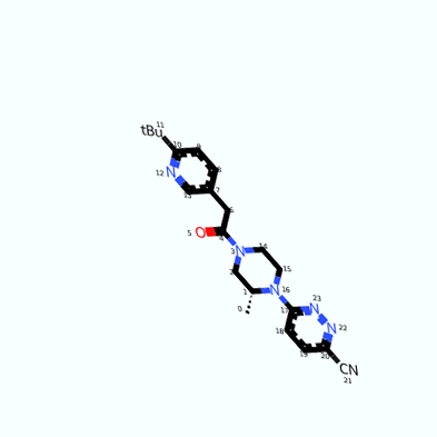 C[C@@H]1CN(C(=O)Cc2ccc(C(C)(C)C)nc2)CCN1c1ccc(C#N)nn1